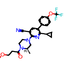 COCCC(=O)N1CCN(c2nc(C3CC3)c(-c3ccc(OC(F)(F)F)cc3)cc2C#N)C[C@H]1C